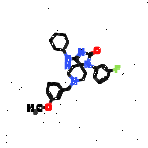 COc1cccc(CN2CCC3(CC2)C(NC2CCCCC2)=NC(=O)N3c2cccc(F)c2)c1